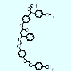 Cc1ccc(OCOc2ccc(OCOC(CC(=O)Oc3ccc(C(OO)c4ccc(C)cc4)cc3)c3ccccc3)cc2)cc1